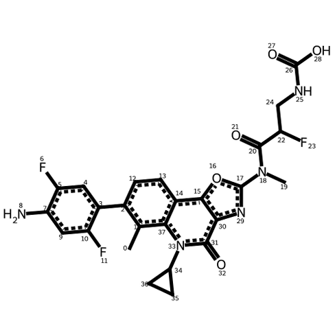 Cc1c(-c2cc(F)c(N)cc2F)ccc2c3oc(N(C)C(=O)C(F)CNC(=O)O)nc3c(=O)n(C3CC3)c12